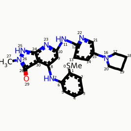 CSc1ccccc1Nc1cc(Nc2ccc(N3CCCC3)cn2)nc2[nH]n(C)c(=O)c12